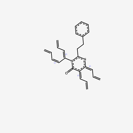 C=C/C=C\C(=C/C=C)n1c(CCc2ccccc2)nc(=C/C=C)/c(=C\C=C)c1=O